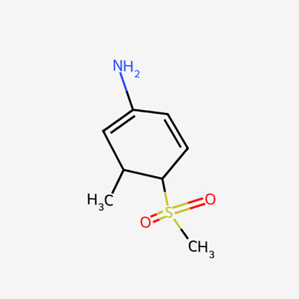 CC1C=C(N)C=CC1S(C)(=O)=O